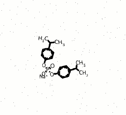 CC(C)c1ccc(OP(=O)([O-])Oc2ccc(C(C)C)cc2)cc1.[Na+]